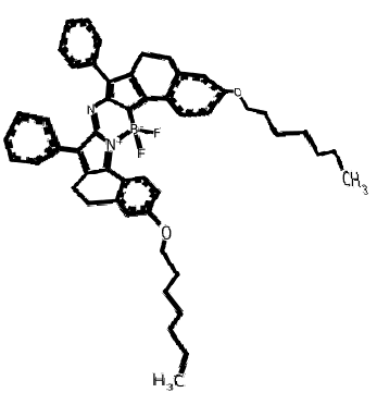 CCCCCCCOc1ccc2c(c1)CCC1=C2C2C(=C1c1ccccc1)N=C1C(c3ccccc3)=C3CCc4cc(OCCCCCCC)ccc4C3=[N+]1[B-]2(F)F